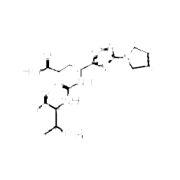 CC(O)C(NC(=O)N[C@@H](CCC(=O)O)c1nc(N2CCCC2)no1)C(=O)O